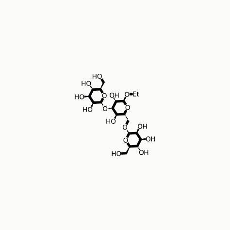 CCO[C@H]1O[C@H](CO[C@H]2O[C@H](CO)[C@@H](O)[C@H](O)[C@@H]2O)[C@@H](O)[C@H](O[C@H]2O[C@H](CO)[C@@H](O)[C@H](O)[C@@H]2O)[C@@H]1O